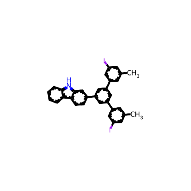 Cc1cc(I)cc(-c2cc(-c3cc(C)cc(I)c3)cc(-c3ccc4c(c3)[nH]c3ccccc34)c2)c1